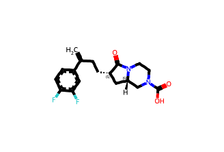 C=C(CC[C@H]1C[C@H]2CN(C(=O)O)CCN2C1=O)c1ccc(F)c(F)c1